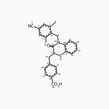 Cc1cc(C#N)cc(C)c1CN1C(=O)C(Cc2ccc(C(=O)O)cc2)Sc2ccccc21